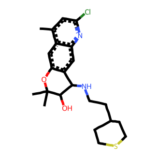 Cc1cc(Cl)nc2cc3c(cc12)OC(C)(C)C(O)C3NCCC1CCSCC1